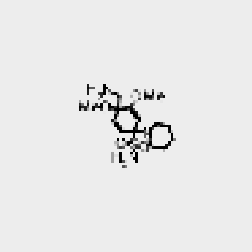 COC1=CC(N2CCCCC2)(S(N)(=O)=O)C=CC1(CN)OC